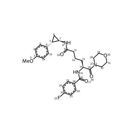 COc1ccc([C@@H]2C[C@H]2NC(=O)CCC[C@H](NC(=O)c2ccc(F)cc2)C(=O)N2CCOCC2)cc1